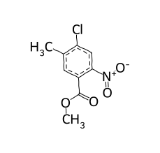 COC(=O)c1cc(C)c(Cl)cc1[N+](=O)[O-]